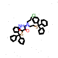 NCC(SC(c1ccccc1)(c1ccccc1)c1ccccc1)C(=O)CN(CCCCl)CCSC(c1ccccc1)(c1ccccc1)c1ccccc1